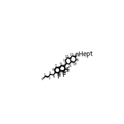 C/C=C/CCc1ccc2cc(C3CCC4CC(CCCCCCC)CCC4C3)c(F)c(F)c2c1F